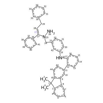 CC1(C)c2ccccc2-c2cc(-c3ccccc3Nc3cccc(CN(N)/C(=C\Cc4ccccc4)c4ccccc4)c3)ccc21